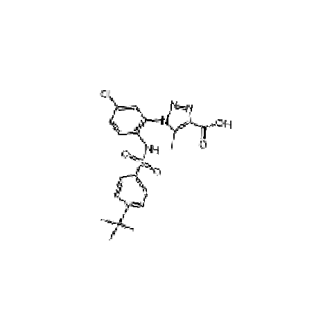 Cc1c(C(=O)O)nnn1-c1cc(Cl)ccc1NS(=O)(=O)c1ccc(C(C)(C)C)cc1